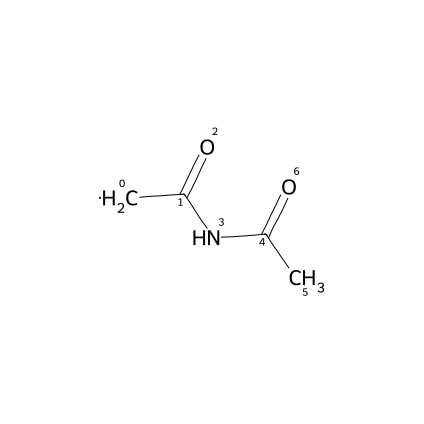 [CH2]C(=O)NC(C)=O